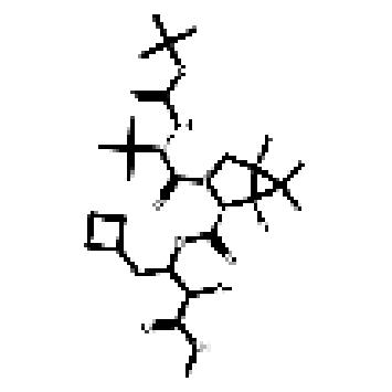 CNC(=O)C(O)C(CC1CCC1)NC(=O)[C@@H]1[C@@H]2[C@H](CN1C(=O)[C@@H](NC(=O)OC(C)(C)C)C(C)(C)C)C2(C)C